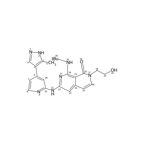 Cc1[nH]ncc1-c1ccnc(Nc2cc3ccn(CCO)c(=O)c3c(NC(C)(C)C)n2)c1